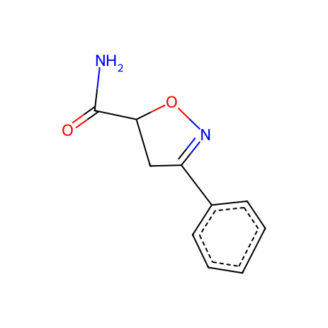 NC(=O)C1CC(c2ccccc2)=NO1